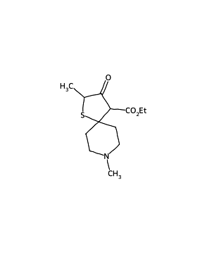 CCOC(=O)C1C(=O)C(C)SC12CCN(C)CC2